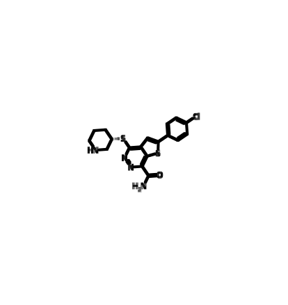 NC(=O)c1nnc(S[C@H]2CCCNC2)c2cc(-c3ccc(Cl)cc3)sc12